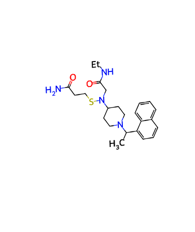 CCNC(=O)CN(SCCC(N)=O)C1CCN(C(C)c2cccc3ccccc23)CC1